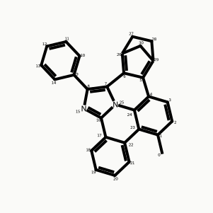 Cc1ccc2c3c(c4c(-c5ccccc5)nc5c6ccccc6c1c2n45)=C1CCC=3C1